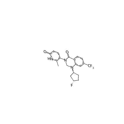 Cc1[nH]c(=O)ccc1N1CN([C@H]2CC[C@H](F)C2)c2cc(C(F)(F)F)ccc2C1=O